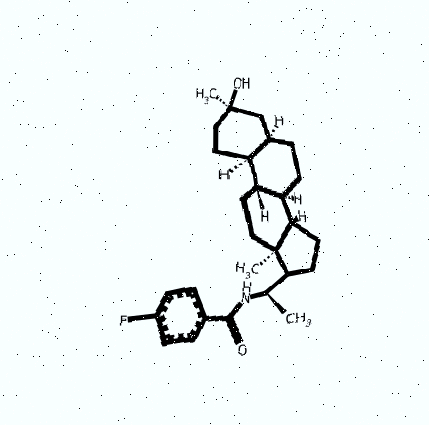 C[C@@H](NC(=O)c1ccc(F)cc1)C1CC[C@H]2[C@@H]3CC[C@@H]4C[C@](C)(O)CC[C@@H]4[C@H]3CC[C@]12C